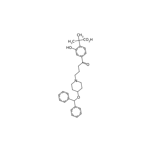 CC(C)(C(=O)O)c1ccc(C(=O)CCCN2CCC(OC(c3ccccc3)c3ccccc3)CC2)cc1O